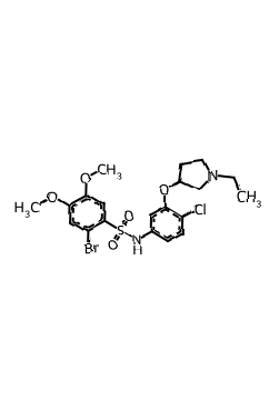 CCN1CCC(Oc2cc(NS(=O)(=O)c3cc(OC)c(OC)cc3Br)ccc2Cl)C1